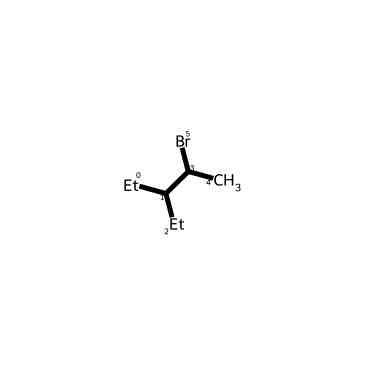 CCC(CC)C(C)Br